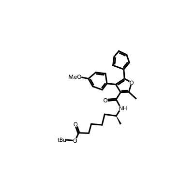 COc1ccc(-c2c(-c3ccccc3)oc(C)c2C(=O)N[C@@H](C)CCCCC(=O)OC(C)(C)C)cc1